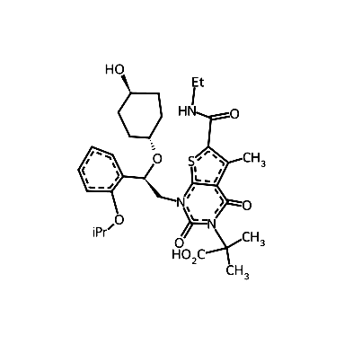 CCNC(=O)c1sc2c(c1C)c(=O)n(C(C)(C)C(=O)O)c(=O)n2C[C@H](O[C@H]1CC[C@H](O)CC1)c1ccccc1OC(C)C